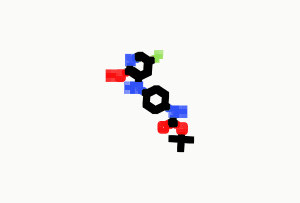 CC(C)(C)OC(=O)NC1CCC(Nc2cc(F)cnc2O)CC1